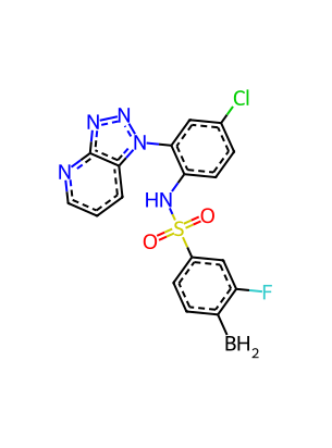 Bc1ccc(S(=O)(=O)Nc2ccc(Cl)cc2-n2nnc3ncccc32)cc1F